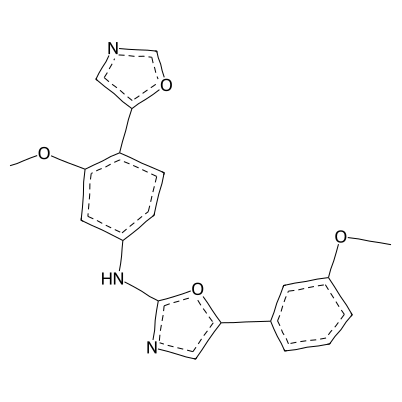 COc1cccc(-c2cnc(Nc3ccc(-c4cnco4)c(OC)c3)o2)c1